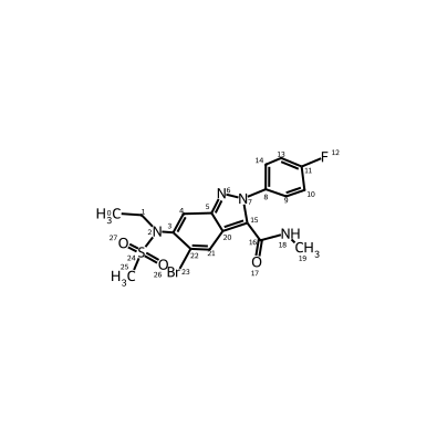 CCN(c1cc2nn(-c3ccc(F)cc3)c(C(=O)NC)c2cc1Br)S(C)(=O)=O